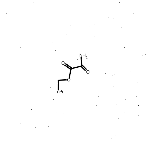 CCCCOC(=O)C(N)=O